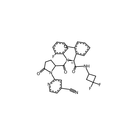 N#Cc1ccnc(N2C(=O)CCC2C(=O)N(c2ccccc2F)[C@H](C(=O)NC2CC(F)(F)C2)c2ccccc2Cl)c1